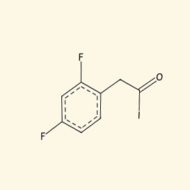 O=C(I)Cc1ccc(F)cc1F